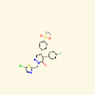 CS(=O)(=O)c1ccc(-c2cnn(Cc3ncc(Cl)s3)c(=O)c2-c2ccc(F)cc2)cc1